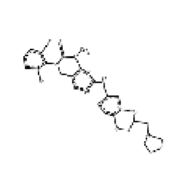 CN1C(=O)N(c2c(F)cccc2Br)Cc2cnc(Nc3ccc4c(c3)OC(CN3CCCC3)CO4)nc21